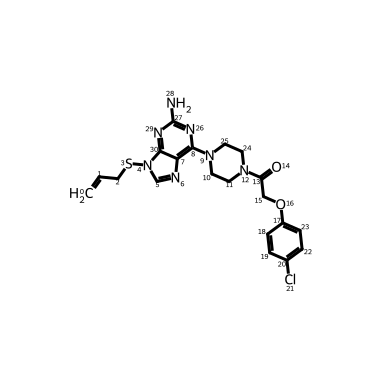 C=CCSn1cnc2c(N3CCN(C(=O)COc4ccc(Cl)cc4)CC3)nc(N)nc21